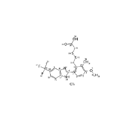 COc1cc[n+](-c2nc3cc(C(F)(F)F)ccc3[nH]2)c(CSSCC(=O)O)c1C.[Cl-]